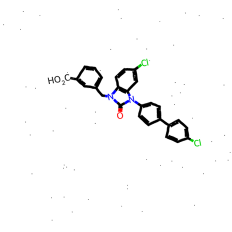 O=C(O)c1cccc(Cn2c(=O)n(-c3ccc(-c4ccc(Cl)cc4)cc3)c3cc(Cl)ccc32)c1